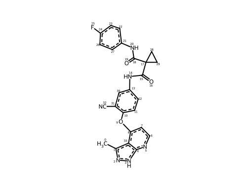 Cc1n[nH]c2nccc(Oc3ccc(NC(=O)C4(C(=O)Nc5ccc(F)cc5)CC4)cc3C#N)c12